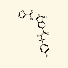 CC(C)(NC(=O)c1cc2c(NC(=O)c3cccs3)n[nH]c2s1)c1ccc(F)cc1